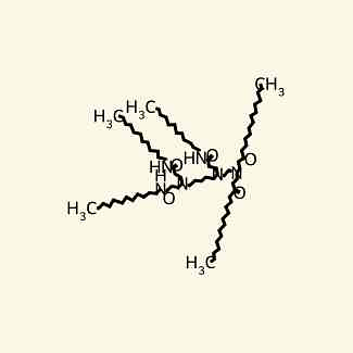 CCCCCCCCCCCCCC(=O)CCN(CCC(=O)CCCCCCCCCCCCC)CCN(CCCCCN(CCC(=O)NCCCCCCCCCCCC)CCC(=O)NCCCCCCCCCCCC)CCC(=O)NCCCCCCCCCCCC